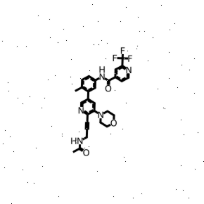 CC(=O)NCC#Cc1ncc(-c2cc(NC(=O)c3ccnc(C(F)(F)F)c3)ccc2C)cc1N1CCOCC1